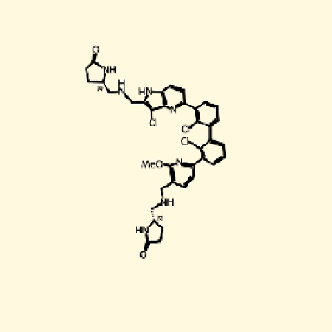 COc1nc(-c2cccc(-c3cccc(-c4ccc5[nH]c(CNC[C@H]6CCC(=O)N6)c(Cl)c5n4)c3Cl)c2Cl)ccc1CNC[C@@H]1CCC(=O)N1